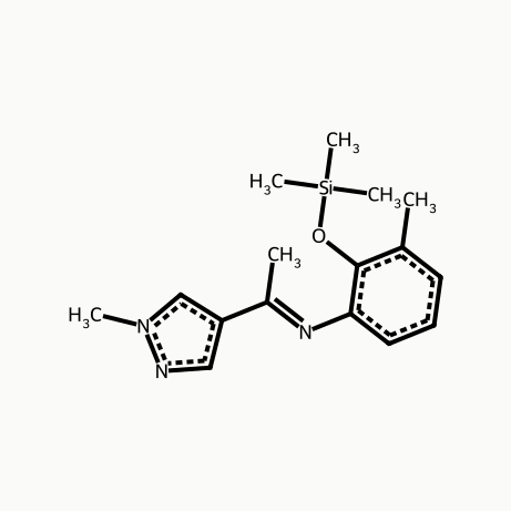 CC(=Nc1cccc(C)c1O[Si](C)(C)C)c1cnn(C)c1